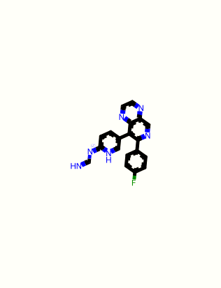 N=C/N=c1/ccc(-c2c(-c3ccc(F)cc3)ncc3nccnc23)c[nH]1